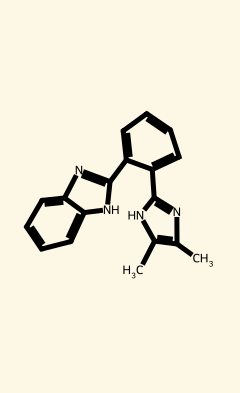 Cc1nc(-c2ccccc2-c2nc3ccccc3[nH]2)[nH]c1C